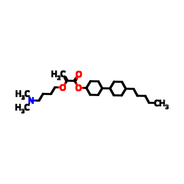 C=C(OCCCCN(C)C)C(=O)OC1CCC(C2CCC(CCCCC)CC2)CC1